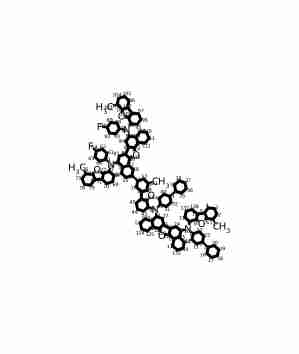 Cc1cccc2c1oc1c(N(c3ccc(-c4ccccc4)cc3)c3cc4c5cc(N(c6ccc(-c7ccccc7)cc6)c6cccc7c6oc6c(C)cc(-c8ccc9c(N(c%10ccc(F)cc%10)c%10cccc%11c%10oc%10c(C)cccc%10%11)cc%10c%11cc(N(c%12ccc(F)cc%12)c%12cccc%13c%12oc%12c(C)cccc%12%13)c%12ccccc%12c%11oc%10c9c8)cc67)c6ccccc6c5oc4c4ccccc34)cccc12